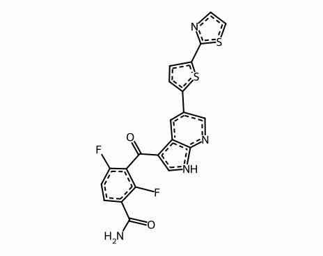 NC(=O)c1ccc(F)c(C(=O)c2c[nH]c3ncc(-c4ccc(-c5nccs5)s4)cc23)c1F